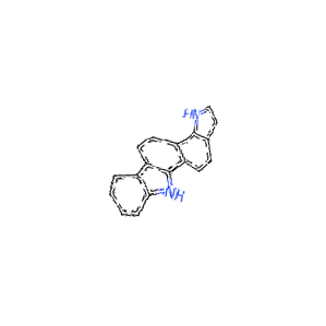 c1ccc2c(c1)[nH]c1c2ccc2c1ccc1cc[nH]c12